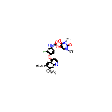 COc1cc2nccc(Oc3ccc(NC(=O)Oc4cn(C(C)C)c(=O)n(C(C)C)c4=O)cc3F)c2cc1OC